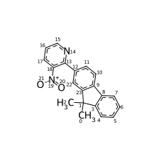 CC1(C)c2ccccc2-c2ccc(-c3ncccc3[N+](=O)[O-])cc21